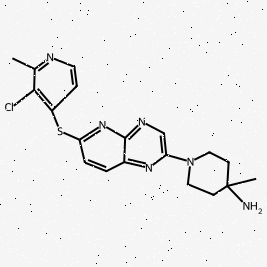 Cc1nccc(Sc2ccc3nc(N4CCC(C)(N)CC4)cnc3n2)c1Cl